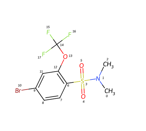 CN(C)S(=O)(=O)c1ccc(Br)cc1OC(F)(F)F